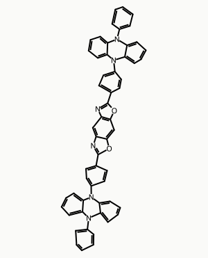 c1ccc(N2c3ccccc3N(c3ccc(-c4nc5cc6nc(-c7ccc(N8c9ccccc9N(c9ccccc9)c9ccccc98)cc7)oc6cc5o4)cc3)c3ccccc32)cc1